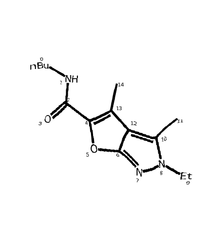 CCCCNC(=O)c1oc2nn(CC)c(C)c2c1C